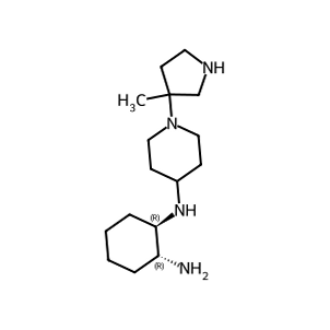 CC1(N2CCC(N[C@@H]3CCCC[C@H]3N)CC2)CCNC1